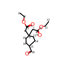 CCOC(=O)CC1(CC(=O)OCC)CCC(C=O)CC1